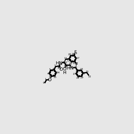 CCOc1ccc(CC(=O)N[C@@H](Cc2cc(F)cc(F)c2)[C@H](O)CNCc2cccc(CC)c2)cc1